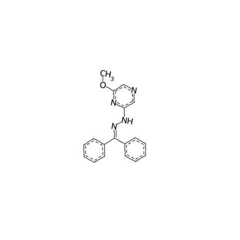 COc1cncc(NN=C(c2ccccc2)c2ccccc2)n1